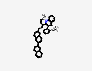 C/C=C\C(=C/Cc1ccc2cc(-c3ccc4ccccc4c3)ccc2c1)c1nc2ccccc2c(C)c1-c1ccccc1C